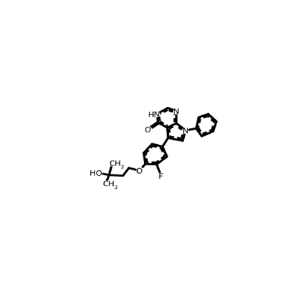 CC(C)(O)CCOc1ccc(-c2cn(-c3ccccc3)c3nc[nH]c(=O)c23)cc1F